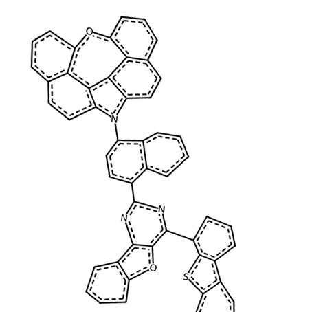 c1ccc2c(c1)oc1c(-c3cccc4c3sc3ccccc34)nc(-c3ccc(-n4c5ccc6cccc7oc8cccc9ccc4c(c98)c5c67)c4ccccc34)nc12